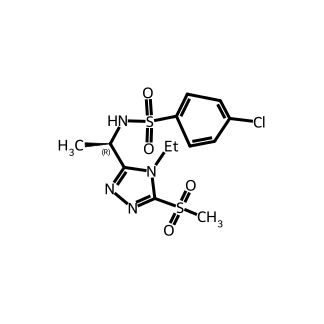 CCn1c([C@@H](C)NS(=O)(=O)c2ccc(Cl)cc2)nnc1S(C)(=O)=O